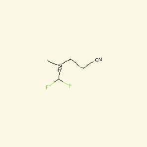 C[SiH](CCC#N)C(F)F